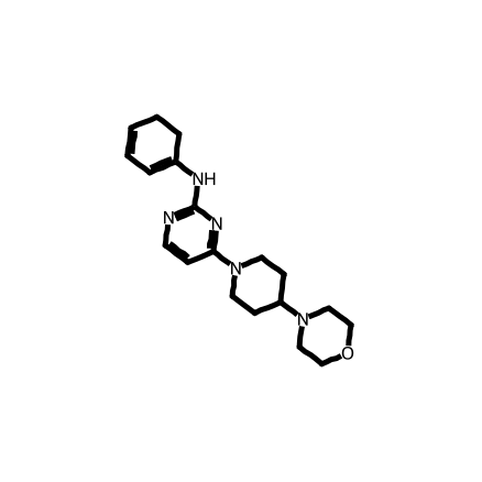 C1=CCCC(Nc2nccc(N3CCC(N4CCOCC4)CC3)n2)=C1